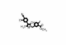 COC(=O)c1cc(Cn2nc(C)c(-c3ccc(C#N)c(Cl)c3)c2C)ccc1F